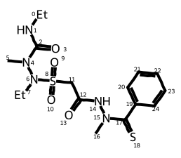 CCNC(=O)N(C)N(CC)S(=O)(=O)CC(=O)NN(C)C(=S)c1ccccc1